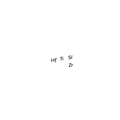 [Hf].[Si].[Ti].[Zr]